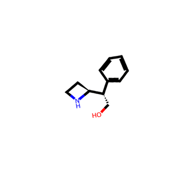 OC[C@@H](c1ccccc1)[C@@H]1CCN1